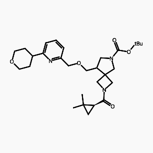 CC(C)(C)OC(=O)N1CC(COCc2cccc(C3CCOCC3)n2)C2(C1)CN(C(=O)[C@H]1CC1(C)C)C2